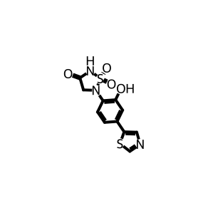 O=C1CN(c2ccc(-c3cncs3)cc2O)S(=O)(=O)N1